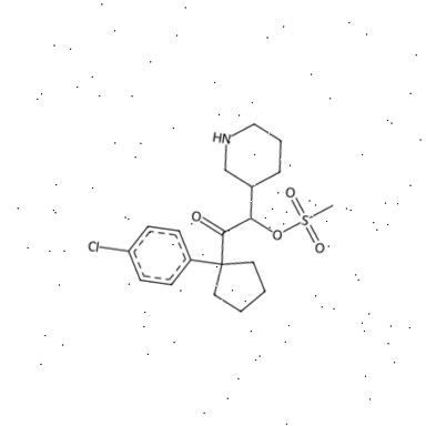 CS(=O)(=O)OC(C(=O)C1(c2ccc(Cl)cc2)CCCC1)C1CCCNC1